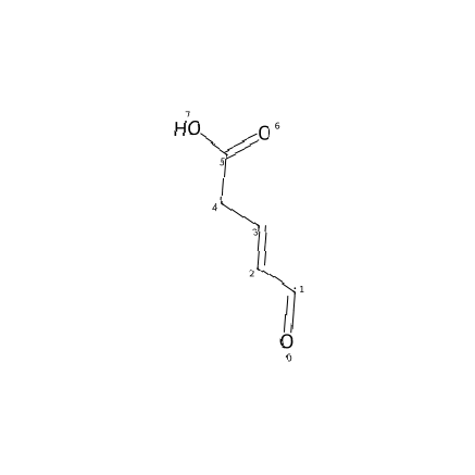 O=[C]C=CCC(=O)O